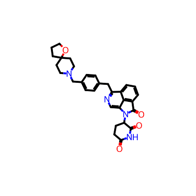 O=C1CCC(N2C(=O)c3cccc4c(Cc5ccc(CN6CCC7(CCCO7)CC6)cc5)ncc2c34)C(=O)N1